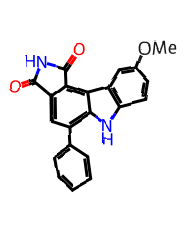 COc1ccc2[nH]c3c(-c4ccccc4)cc4c(c3c2c1)C(=O)NC4=O